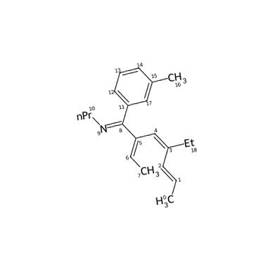 C/C=C/C(=C\C(=C/C)C(=N\CCC)\c1cccc(C)c1)CC